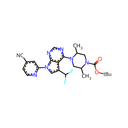 CC1CN(c2ncnc3c2c(C(F)F)cn3-c2cc(C#N)ccn2)C(C)CN1C(=O)OC(C)(C)C